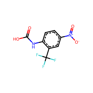 O=C(O)Nc1ccc([N+](=O)[O-])cc1C(F)(F)F